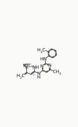 C=C(/C=C(\NC)Nc1cc(C)nc(Nc2ccccc2C)n1)C1CC1